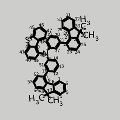 CC1(C)c2ccccc2-c2c(-c3cccc(N(c4cccc(-c5cccc6c5-c5ccccc5C6(C)C)c4)c4cccc5sc6ccccc6c45)c3)cccc21